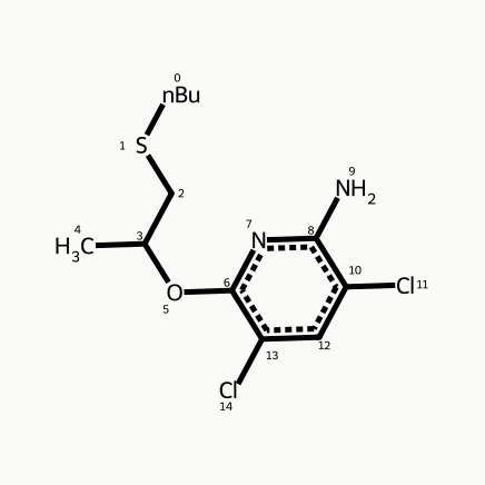 CCCCSCC(C)Oc1nc(N)c(Cl)cc1Cl